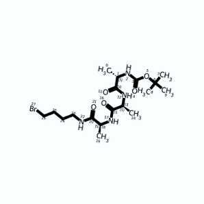 C[C@H](NC(=O)OC(C)(C)C)C(=O)N[C@@H](C)C(=O)N[C@@H](C)C(=O)NCCCCBr